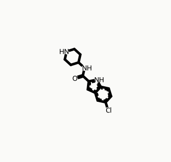 O=C(NC1CCNCC1)c1cc2cc(Cl)ccc2[nH]1